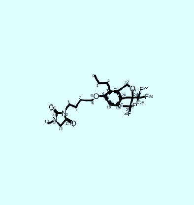 CCCc1c(OCCCCN2C(=O)CN(C)C2=O)ccc2c1COC2(C(F)(F)F)C(F)(F)F